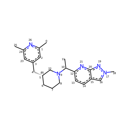 Cc1cc(C[C@H]2CCCN(C(C)c3ccc4cn(C)nc4n3)C2)cc(C)n1